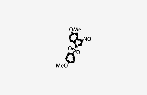 COc1ccc(S(=O)(=O)n2cc(N=O)c3cc(OC)ccc32)cc1